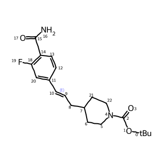 CC(C)(C)OC(=O)N1CCC(C/C=C/c2ccc(C(N)=O)c(F)c2)CC1